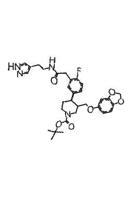 CC(C)(C)OC(=O)N1CCC(c2ccc(F)c(CC(=O)NCCc3cn[nH]c3)c2)C(COc2ccc3c(c2)OCO3)C1